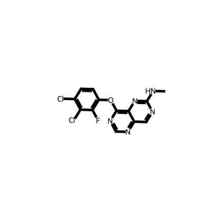 CNc1ncc2ncnc(Oc3ccc(Cl)c(Cl)c3F)c2n1